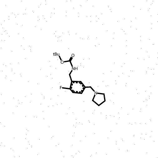 CC(C)(C)OC(=O)NCc1cc(CN2CCCC2)ccc1F